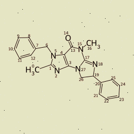 Cc1nc2c(n1Cc1ccccc1)C(=O)N(C)C1=NC(c3ccccc3)CN12